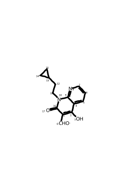 O=[C]c1c(O)c2cccnc2n(CCC2CC2)c1=O